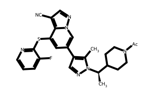 CC(=O)N1CCC([C@@H](C)n2ncc(-c3cc(Sc4ncccc4F)c4c(C#N)cnn4c3)c2C)CC1